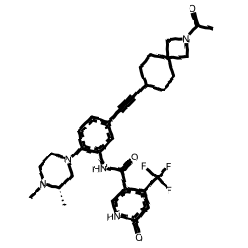 CC(=O)N1CC2(CCC(C#Cc3ccc(N4CCN(C)[C@@H](C)C4)c(NC(=O)c4c[nH]c(=O)cc4C(F)(F)F)c3)CC2)C1